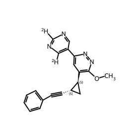 [2H]c1ncc(-c2cc([C@H]3C[C@@H]3C#Cc3ccccc3)c(OC)nn2)c([2H])n1